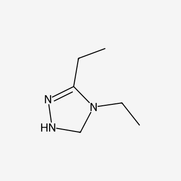 CCC1=NNCN1CC